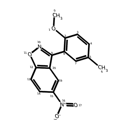 COc1ccc(C)cc1-c1noc2ccc([N+](=O)[O-])cc12